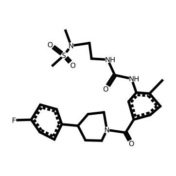 Cc1ccc(C(=O)N2CCC(c3ccc(F)cc3)CC2)cc1NC(=O)NCCN(C)S(C)(=O)=O